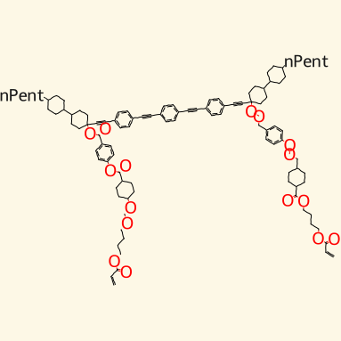 C=CC(=O)OCCCCOCOC1CCC(C(=O)Oc2ccc(C(=O)OC3(C#Cc4ccc(C#Cc5ccc(C#Cc6ccc(C#CC7(OOCc8ccc(OOCC9CCC(C(=O)OCCCCOC(=O)C=C)CC9)cc8)CCC(C8CCC(CCCCC)CC8)CC7)cc6)cc5)cc4)CCC(C4CCC(CCCCC)CC4)CC3)cc2)CC1